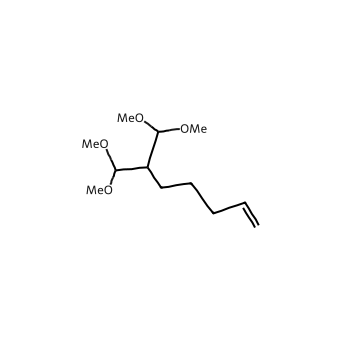 C=CCCCC(C(OC)OC)C(OC)OC